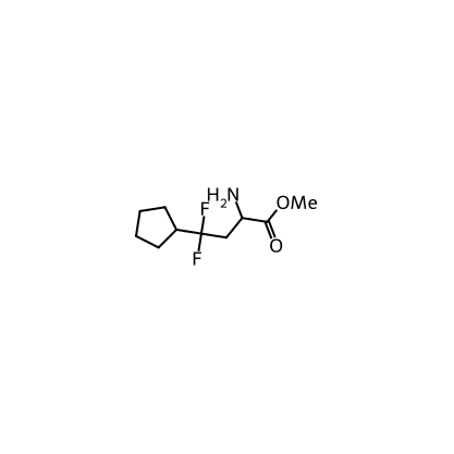 COC(=O)C(N)CC(F)(F)C1CCCC1